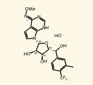 CO/N=c1\nc[nH]c2c1ccn2[C@@H]1O[C@H](C(O)c2ccc(C(F)(F)F)c(C)c2)[C@@H](O)[C@H]1O.Cl